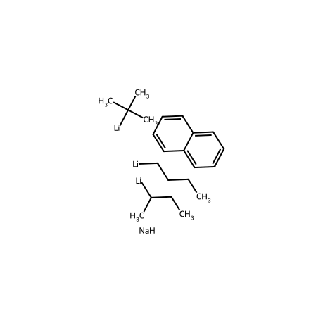 [Li][CH2]CCC.[Li][CH](C)CC.[Li][C](C)(C)C.[NaH].c1ccc2ccccc2c1